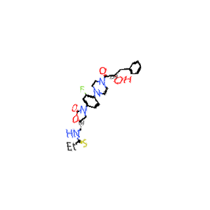 CCC(=S)NC[C@H]1CN(c2ccc(N3CCN(C(=O)[C@@H](O)Cc4ccccc4)CC3)c(F)c2)C(=O)O1